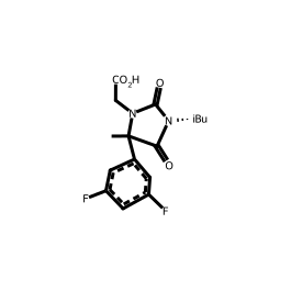 CC[C@@H](C)N1C(=O)N(CC(=O)O)C(C)(c2cc(F)cc(F)c2)C1=O